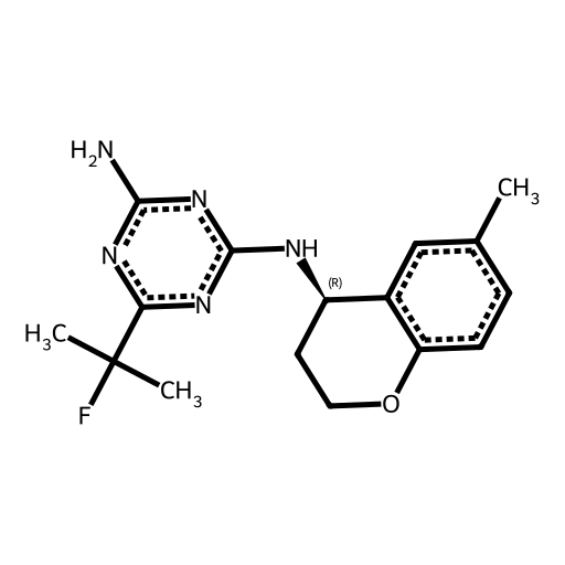 Cc1ccc2c(c1)[C@H](Nc1nc(N)nc(C(C)(C)F)n1)CCO2